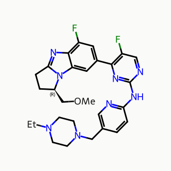 CCN1CCN(Cc2ccc(Nc3ncc(F)c(-c4cc(F)c5nc6n(c5c4)[C@@H](COC)CC6)n3)nc2)CC1